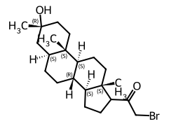 C[C@@]1(O)CC[C@@]2(C)[C@@H](CC[C@@H]3[C@@H]2CC[C@]2(C)C(C(=O)CBr)CC[C@@H]32)C1